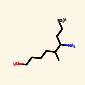 CC(CCCCO)C(N)CCS(=O)(=O)O